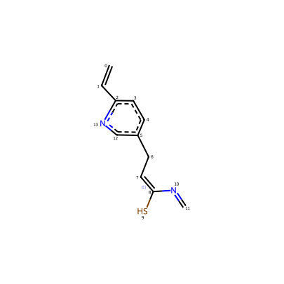 C=Cc1ccc(C/C=C(/S)N=C)cn1